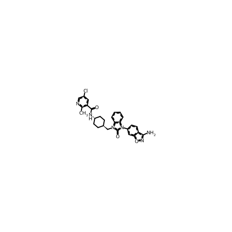 Cc1ncc(Cl)cc1C(=O)N[C@H]1CC[C@H](Cn2c(=O)n(-c3ccc4c(N)noc4c3)c3ccccc32)CC1